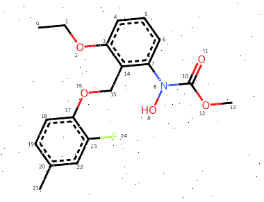 CCOc1cccc(N(O)C(=O)OC)c1COc1ccc(C)cc1F